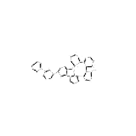 c1ccc2c(c1)sc1ccc(-c3ccc4c(c3)c3cccc5c6cccc7sc8cccc(c9ccccc9n4c53)c8c76)cc12